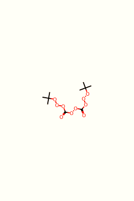 CC(C)(C)OOOC(=O)OOC(=O)OOOC(C)(C)C